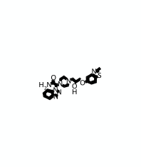 Cc1nc2cc(OC[C@H](O)CN3CCN(C(C(N)=O)n4nnc5ccccc54)CC3)ccc2s1